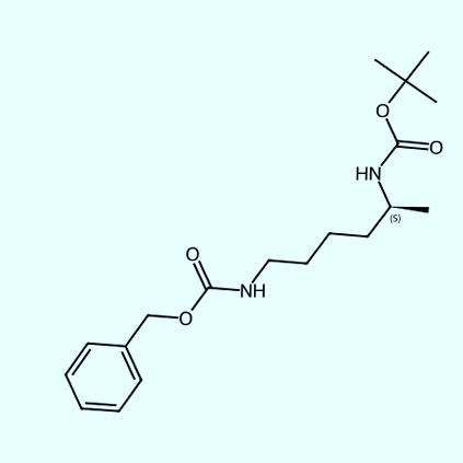 C[C@@H](CCCCNC(=O)OCc1ccccc1)NC(=O)OC(C)(C)C